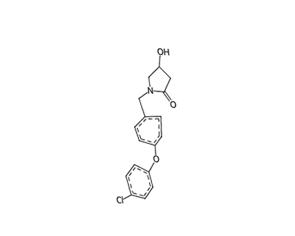 O=C1CC(O)CN1Cc1ccc(Oc2ccc(Cl)cc2)cc1